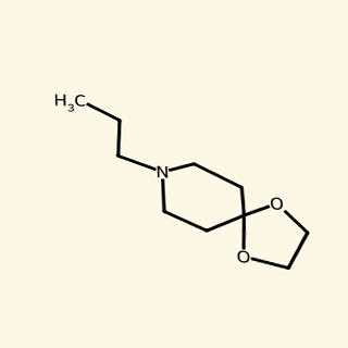 CCCN1CCC2(CC1)OCCO2